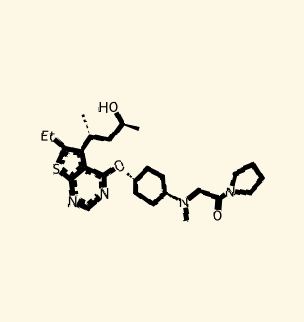 CCc1sc2ncnc(O[C@H]3CC[C@H](N(C)CC(=O)N4CCCC4)CC3)c2c1[C@H](C)C[C@H](C)O